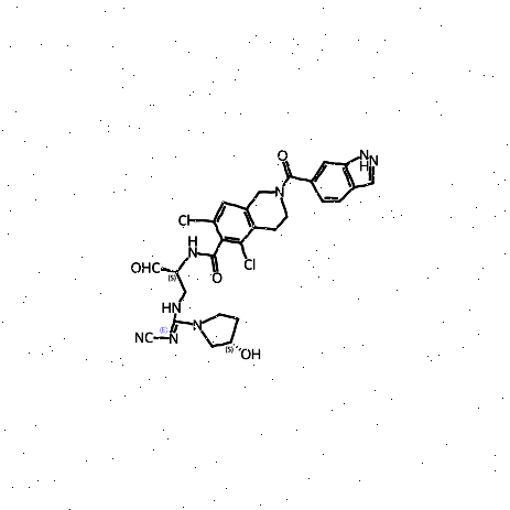 N#C/N=C(\NC[C@@H](C=O)NC(=O)c1c(Cl)cc2c(c1Cl)CCN(C(=O)c1ccc3cn[nH]c3c1)C2)N1CC[C@H](O)C1